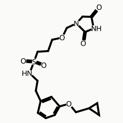 O=C1CN(COCCCS(=O)(=O)NCCc2cccc(OCC3CC3)c2)C(=O)N1